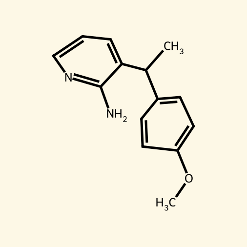 COc1ccc(C(C)c2cccnc2N)cc1